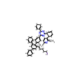 Cc1ccc(C2C=CC=CC2c2nc(C3=CCCC=C3)nc(-c3ccc(-c4c(CCCCCI)cc(-c5ccccc5)cc4-c4ccccc4)cc3)n2)c(C)n1